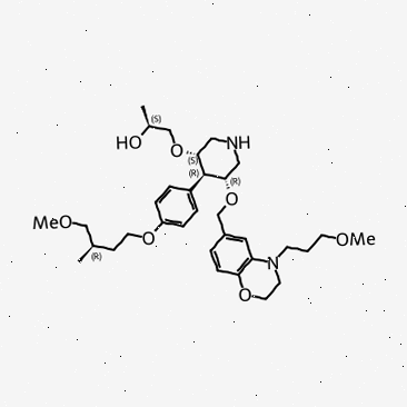 COCCCN1CCOc2ccc(CO[C@H]3CNC[C@@H](OC[C@H](C)O)[C@@H]3c3ccc(OCC[C@@H](C)COC)cc3)cc21